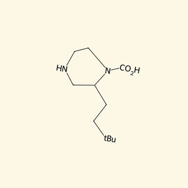 CC(C)(C)CCC1CNCCN1C(=O)O